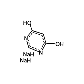 Oc1cc(O)ncn1.[NaH].[NaH]